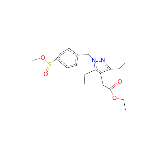 CCOC(=O)Cc1c(CC)nn(Cc2ccc(S(=O)OC)cc2)c1CC